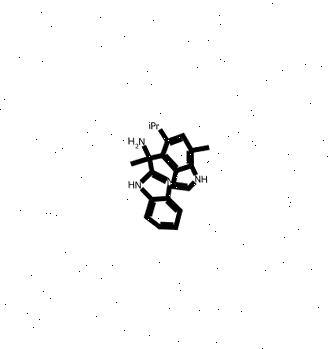 Cc1cc(C(C)C)c(C(C)(N)c2nc3ccccc3[nH]2)c2cc[nH]c12